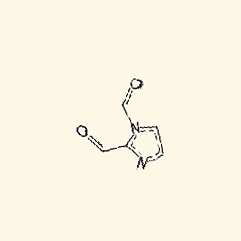 O=Cc1nccn1C=O